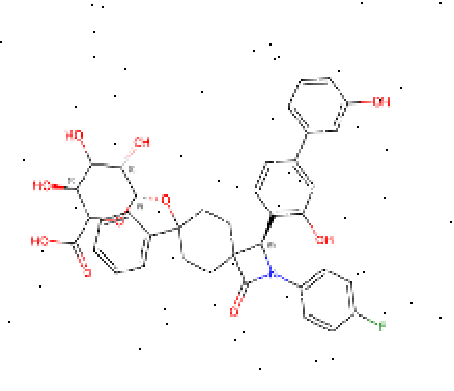 O=C(O)C1O[C@@H](OC2(c3ccccc3)CCC3(CC2)C(=O)N(c2ccc(F)cc2)[C@@H]3c2ccc(-c3cccc(O)c3)cc2O)[C@@H](O)C(O)[C@@H]1O